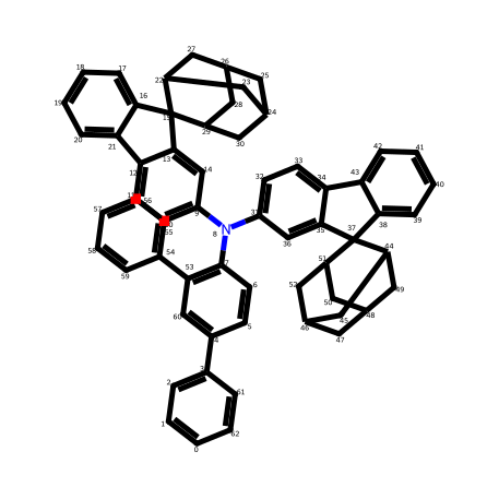 c1ccc(-c2ccc(N(c3ccc4c(c3)C3(c5ccccc5-4)C4CC5CC(C4)CC3C5)c3ccc4c(c3)C3(c5ccccc5-4)C4CC5CC(C4)CC3C5)c(-c3ccccc3)c2)cc1